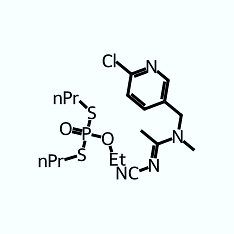 C/C(=N\C#N)N(C)Cc1ccc(Cl)nc1.CCCSP(=O)(OCC)SCCC